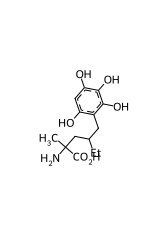 CCC(Cc1c(O)cc(O)c(O)c1O)CC(C)(N)C(=O)O